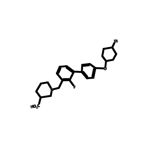 CCC1CCC(Oc2ccc(-c3cccc(CN4CCCC(C(=O)O)C4)c3F)cc2)CC1